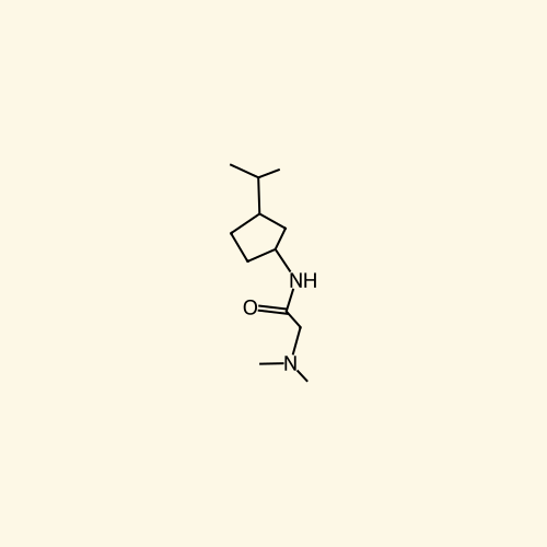 CC(C)C1CCC(NC(=O)CN(C)C)C1